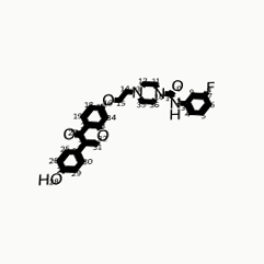 O=C(Nc1cccc(F)c1)N1CCN(CCOc2ccc3c(=O)c(-c4ccc(O)cc4)coc3c2)CC1